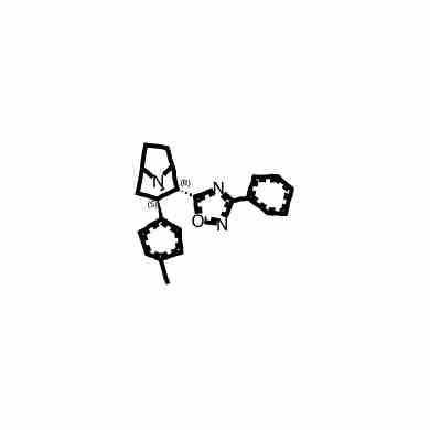 Cc1ccc([C@H]2CC3CCC([C@@H]2c2nc(-c4ccccc4)no2)N3C)cc1